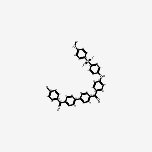 COc1ccc(S(=O)(=O)c2ccc(Oc3ccc(C(=O)c4ccc(-c5ccc(C(=O)c6ccc(C)cc6)cc5)cc4)cc3)cc2)cc1